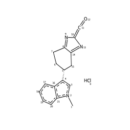 Cl.Cn1cc([C@@H]2CCC3=NC(=C=O)N=C3C2)c2ccccc21